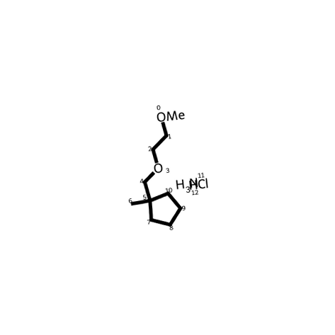 COCCOCC1(C)CCCC1.Cl.N